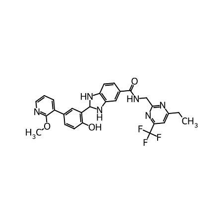 CCc1cc(C(F)(F)F)nc(CNC(=O)c2ccc3c(c2)NC(c2cc(-c4cccnc4OC)ccc2O)N3)n1